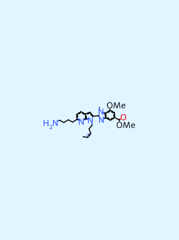 C/C=C\CCn1c(-c2nc3cc(C(=O)OC)cc(OC)c3n2C)cc2ccc(CCCCN)nc21